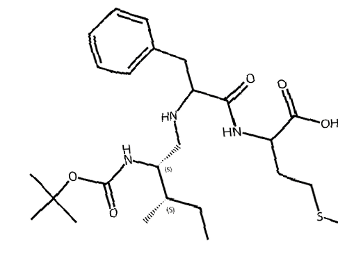 CC[C@H](C)[C@@H](CNC(Cc1ccccc1)C(=O)NC(CCSC)C(=O)O)NC(=O)OC(C)(C)C